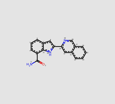 NC(=O)c1cccc2cc(-c3cc4ccccc4cn3)[nH]c12